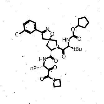 CCC[C@H](NC(=O)[C@@H]1C[C@]2(CC(c3cccc(Cl)c3)=NO2)CN1C(=O)[C@@H](NC(=O)OC1CCCC1)C(C)(C)C)C(=O)C(=O)N1CCC1